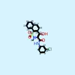 CN1C(C(=O)Nc2cccc(Cl)c2)=C(O)c2ccc3ccccc3c2S1(=O)=O